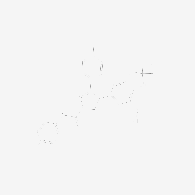 CC1(C)Oc2cc(C3CN(C(=O)Nc4ccc(F)cc4)N=C3c3ccc(F)cc3)cc(CCl)c2O1